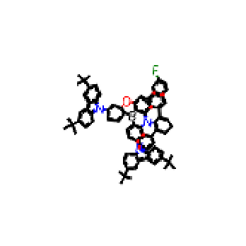 CC(C)(C)c1ccc2c(c1)c1cc(C(C)(C)C)ccc1n2-c1ccc2c(c1)Oc1cc(-c3cccc(F)c3)cc3c1B2c1ccc(-n2c4ccc(C(C)(C)C)cc4c4cc(C(C)(C)C)ccc42)cc1N3C1=C(c2ccccc2)CCC=C1c1ccccc1